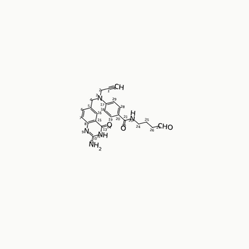 C#CCN(Cc1ccc2nc(N)[nH]c(=O)c2c1)c1ccc(C(=O)NCCCC=O)cc1